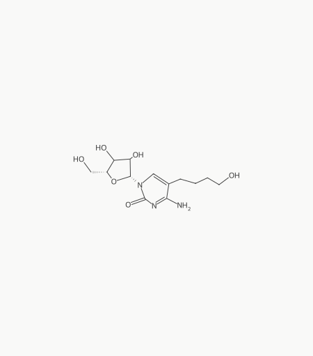 Nc1nc(=O)n([C@@H]2O[C@H](CO)C(O)C2O)cc1CCCCO